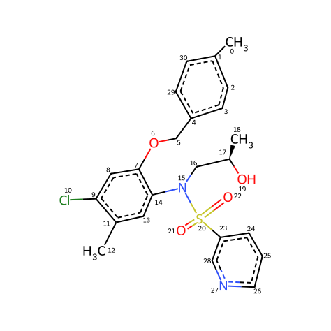 Cc1ccc(COc2cc(Cl)c(C)cc2N(C[C@@H](C)O)S(=O)(=O)c2cccnc2)cc1